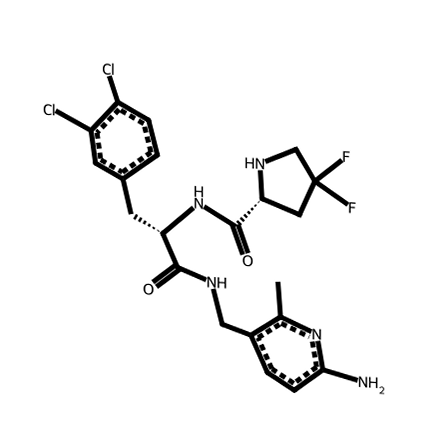 Cc1nc(N)ccc1CNC(=O)[C@H](Cc1ccc(Cl)c(Cl)c1)NC(=O)[C@H]1CC(F)(F)CN1